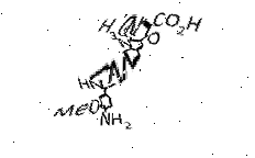 COc1cc(C2CN(c3ccc4cc5c(=O)c(C(=O)O)cn(C)c5nc4c3)CCN2)ccc1N